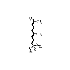 CCOP(=O)(CC/C=C(\C)CCC=C(C)C)OCC